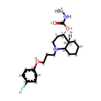 CCCCNC(=O)O[C@H]1CCN(CCCOc2ccc(F)cc2)C2CCCC[C@H]21